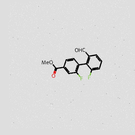 COC(=O)c1ccc(-c2c(F)cccc2C=O)c(F)c1